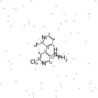 Fc1ncccc1-c1cc(Cl)ncc1NP